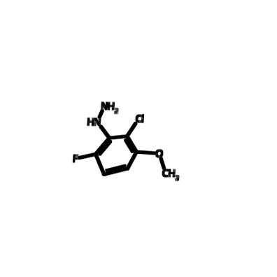 COc1ccc(F)c(NN)c1Cl